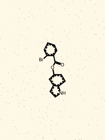 O=C(Oc1ccc2[nH]ccc2c1)c1ccccc1Br